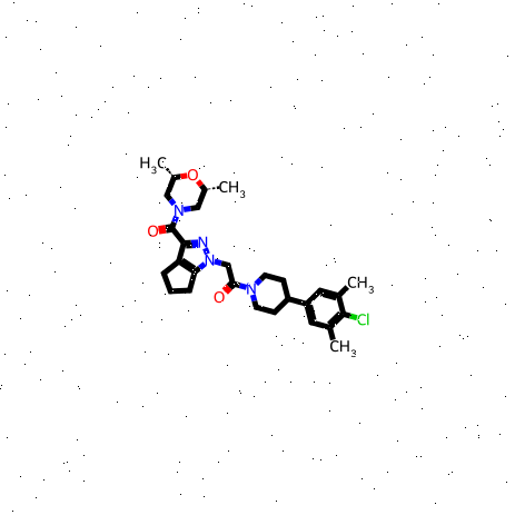 Cc1cc(C2CCN(C(=O)Cn3nc(C(=O)N4C[C@@H](C)O[C@@H](C)C4)c4c3CCC4)CC2)cc(C)c1Cl